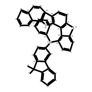 CC1(C)c2ccccc2-c2cc(N(c3ccccc3)c3cccc4sc5ccc6c7ccc8ccccc8c7oc6c5c34)ccc21